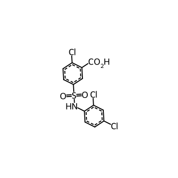 O=C(O)c1cc(S(=O)(=O)Nc2ccc(Cl)cc2Cl)ccc1Cl